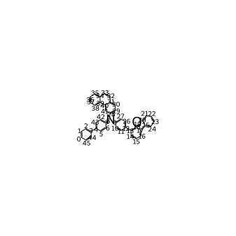 c1ccc(-c2ccc(N(c3ccc(-c4cccc5c4oc4ccccc45)cc3)c3ccc4ccc5ccccc5c4c3)cc2)cc1